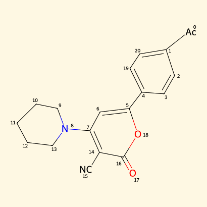 CC(=O)c1ccc(-c2cc(N3CCCCC3)c(C#N)c(=O)o2)cc1